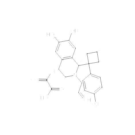 C=CCN1CCc2cc(O)c(O)cc2C1C1(c2ccc(Cl)cc2)CCC1.O=C(O)C(=O)O